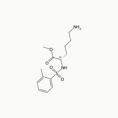 COC(=O)[C@H](CCCCN)NS(=O)(=O)c1ccccc1C